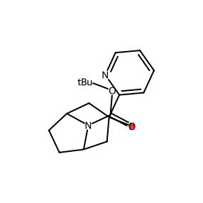 CC(C)(C)OC(=O)N1C2CCC1CC(F)(c1ccccn1)C2